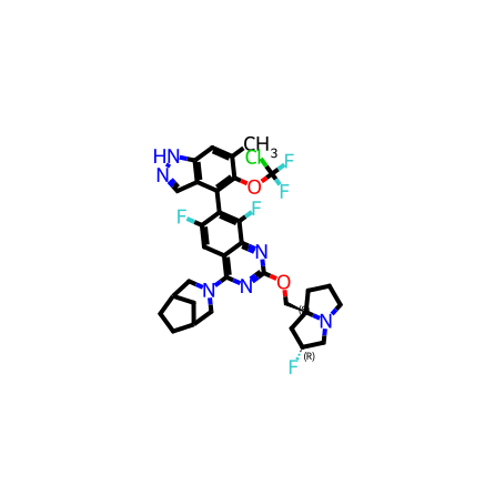 Cc1cc2[nH]ncc2c(-c2c(F)cc3c(N4CC5CCC(C5)C4)nc(OC[C@@]45CCCN4C[C@H](F)C5)nc3c2F)c1OC(F)(F)Cl